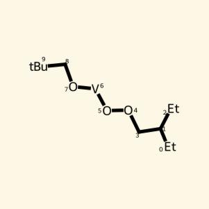 CCC(CC)CO[O][V][O]CC(C)(C)C